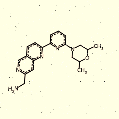 CC1CN(c2cccc(-c3ccc4cnc(CN)cc4n3)n2)CC(C)O1